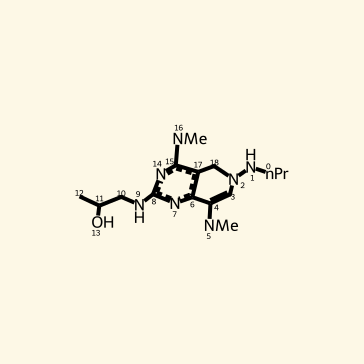 CCCNN1C=C(NC)c2nc(NCC(C)O)nc(NC)c2C1